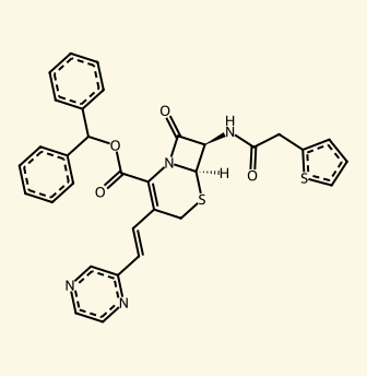 O=C(Cc1cccs1)N[C@@H]1C(=O)N2C(C(=O)OC(c3ccccc3)c3ccccc3)=C(/C=C/c3cnccn3)CS[C@H]12